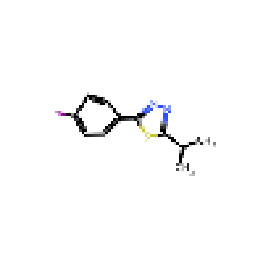 CC(C)c1nnc(-c2ccc(I)cc2)s1